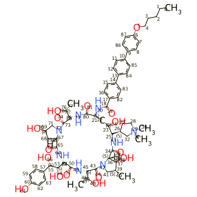 CCCCCOc1ccc(-c2ccc(-c3ccc(C(=O)N[C@H]4C[C@@H](O)C([C@H]5CC[N+](C)(C)C5)NC(=O)[C@@H]5[C@@H](O)[C@@H](C)CN5C(=O)[C@H]([C@@H](C)O)NC(=O)[C@H]([C@H](O)[C@@H](O)c5ccc(O)cc5)NC(=O)[C@@H]5C[C@@H](O)CN5C(=O)[C@H]([C@@H](C)O)NC4=O)cc3)cc2)cc1